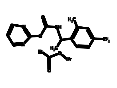 CCC(=O)OC(C)C.Cc1cc(C(F)(F)F)ccc1C(C)NC(=O)Oc1ncccn1